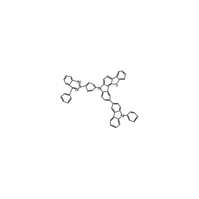 c1ccc(-c2nc(-c3ccc(-n4c5ccc(-c6ccc7c(c6)c6ccccc6n7-c6ccccc6)cc5c5c6sc7ccccc7c6ccc54)cc3)nc3ccccc23)cc1